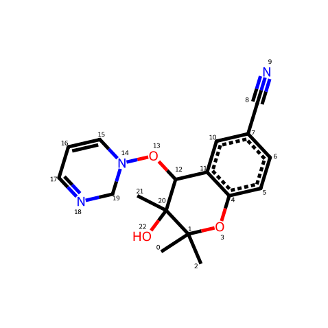 CC1(C)Oc2ccc(C#N)cc2C(ON2C=CC=NC2)C1(C)O